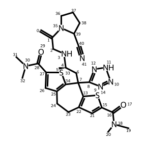 C=C(CN[C@H](C)CC1(c2nn[nH]n2)c2sc(C(=O)N(C)C)cc2CCc2cc(C(=O)N(C)C)sc21)N1CCCC1C#N